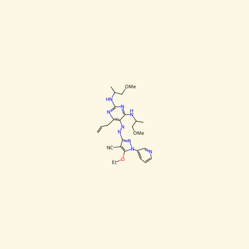 C=CCc1nc(NC(C)COC)nc(NC(C)COC)c1N=Nc1nn(-c2cccnc2)c(OCC)c1C#N